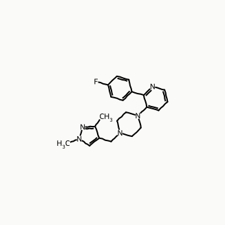 Cc1nn(C)cc1CN1CCN(c2cccnc2-c2ccc(F)cc2)CC1